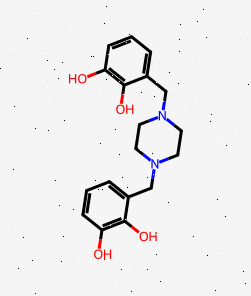 Oc1cccc(CN2CCN(Cc3cccc(O)c3O)CC2)c1O